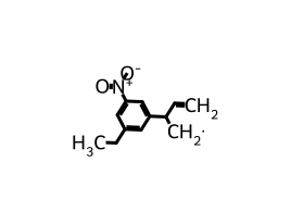 [CH2]C(C=C)c1cc(CC)cc([N+](=O)[O-])c1